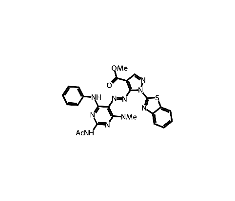 CNc1nc(NC(C)=O)nc(Nc2ccccc2)c1/N=N/c1c(C(=O)OC)cnn1-c1nc2ccccc2s1